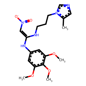 COc1cc(N/C(=C/[N+](=O)[O-])NCCCn2cncc2C)cc(OC)c1OC